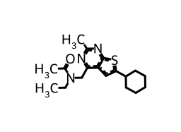 CCN(Cc1nc(C)nc2sc(C3CCCCC3)cc12)C(C)=O